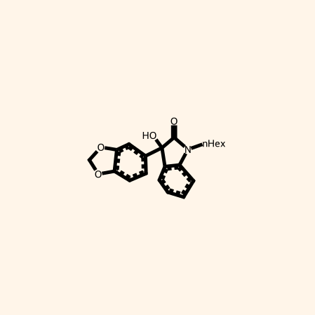 CCCCCCN1C(=O)C(O)(c2ccc3c(c2)OCO3)c2ccccc21